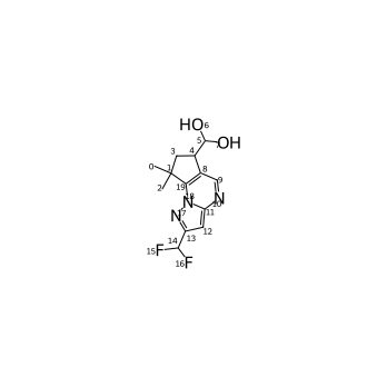 CC1(C)CC(C(O)O)c2cnc3cc(C(F)F)nn3c21